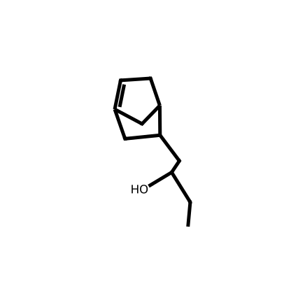 CCC(O)CC1CC2=CCC1C2